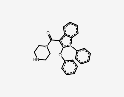 O=C(c1c(Oc2ccccc2)n(-c2ccccc2)c2ccccc12)N1CCNCC1